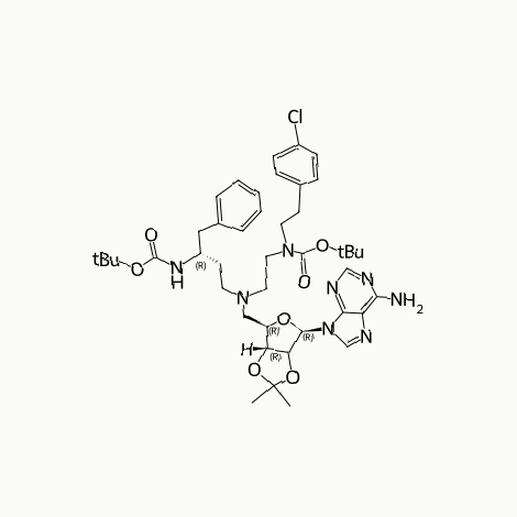 CC(C)(C)OC(=O)N[C@@H](CCN(CCN(CCc1ccc(Cl)cc1)C(=O)OC(C)(C)C)C[C@H]1O[C@@H](n2cnc3c(N)ncnc32)C2OC(C)(C)O[C@@H]21)Cc1ccccc1